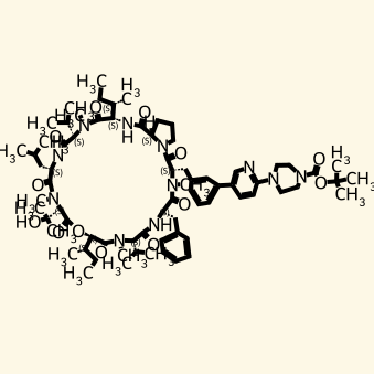 CC[C@H](C)[C@@H]1NC(=O)[C@@H]2CCCN2C(=O)[C@H](Cc2cccc(-c3ccc(N4CCN(C(=O)OC(C)(C)C)CC4)nc3)c2)N(C)C(=O)[C@H](Cc2ccccc2)NC(=O)[C@H](C(C)C)N(C)C(=O)[C@@H]([C@@H](C)CC)OC(=O)[C@H](C(C)(C)O)N(C)C(=O)[C@H](CC(C)C)NC(=O)[C@H](C(C)C)N(C)C1=O